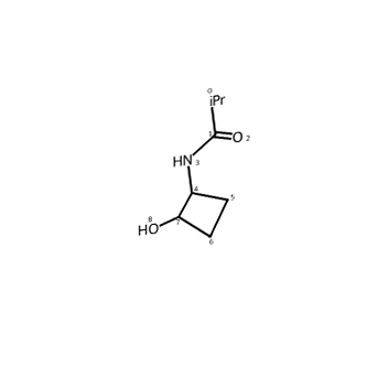 CC(C)C(=O)NC1CCC1O